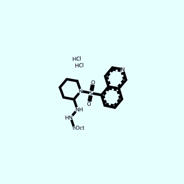 CCCCCCCCNNC1CCCCN1S(=O)(=O)c1cccc2cnccc12.Cl.Cl